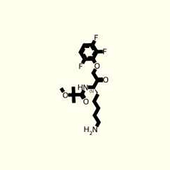 COC(C)(C)C(=O)N[C@@H](CCCCCN)C(=O)COc1c(F)ccc(F)c1F